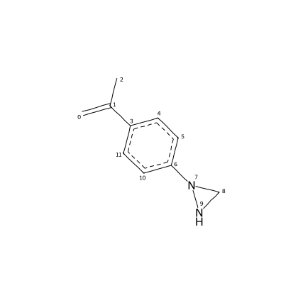 C=C(C)c1ccc(N2CN2)cc1